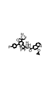 C[C@@]1(CF)COc2c1cc(C(O)(CNC(=O)c1cc(OC3CC3)c3ncccc3c1)C(F)(F)F)nc2-c1ccc(F)cc1